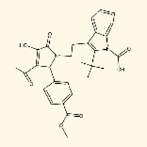 COC(=O)c1ccc(C2C(C(C)=O)=C(O)C(=O)N2CCc2c(C(C)(C)C)n(C(=O)O)c3ccccc23)cc1